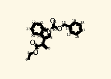 C=C(C(=O)OCC)c1cn(C(=O)OCc2ccccc2)c2ccccc12